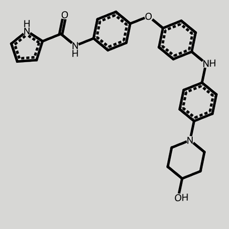 O=C(Nc1ccc(Oc2ccc(Nc3ccc(N4CCC(O)CC4)cc3)cc2)cc1)c1ccc[nH]1